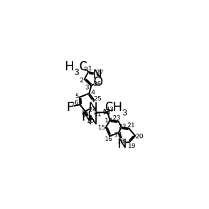 Cc1cc(-c2cc(F)c3nnc([C@@H](C)c4ccc5ncccc5c4)n3c2)on1